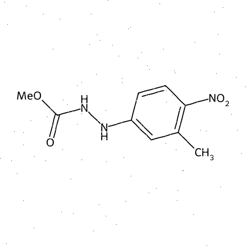 COC(=O)NNc1ccc([N+](=O)[O-])c(C)c1